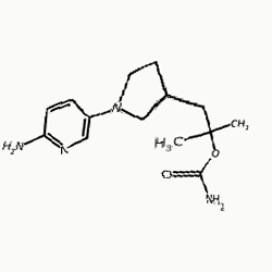 CC(C)(CC1CCN(c2ccc(N)nc2)C1)OC(N)=O